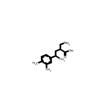 Cc1ccc(C(C)CC(CN)C(=O)O)cc1C